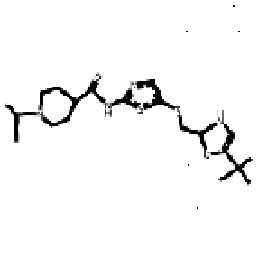 CC(C)N1CCC(C(=O)Nc2ncc(SCC3NC=C(C(C)(C)C)O3)s2)CC1